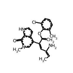 C=C(Oc1c(C)cccc1Cl)/C(=C\C(N)=C/C)c1cn(C)c(=O)c2[nH]ccc12